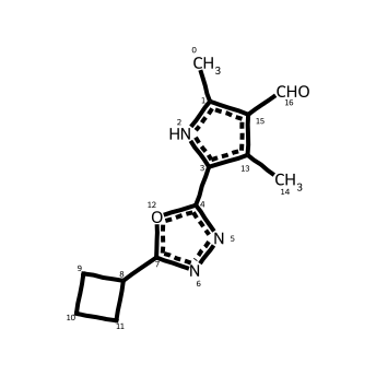 Cc1[nH]c(-c2nnc(C3CCC3)o2)c(C)c1C=O